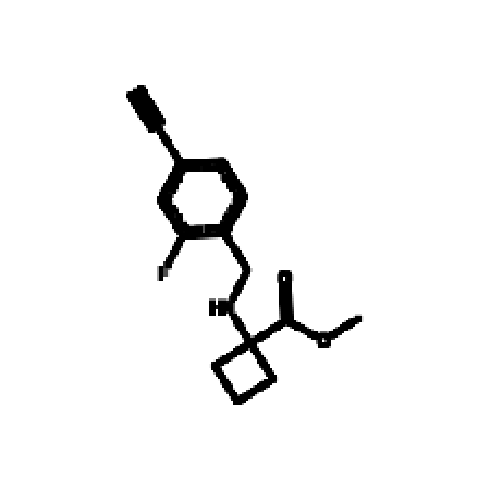 C#Cc1ccc(CNC2(C(=O)OC)CCC2)c(F)c1